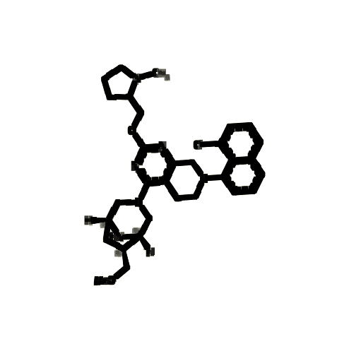 COC[C@H]1C[C@@H]2CN(c3nc(OCC4CCCN4C)nc4c3CCN(c3cccc5cccc(Cl)c35)C4)C[C@H]1N2